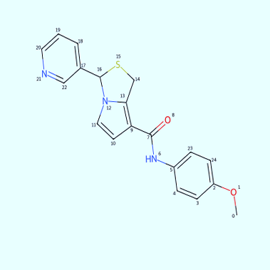 COc1ccc(NC(=O)c2ccn3c2CSC3c2cccnc2)cc1